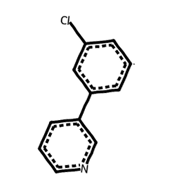 Clc1c[c]cc(-c2cccnc2)c1